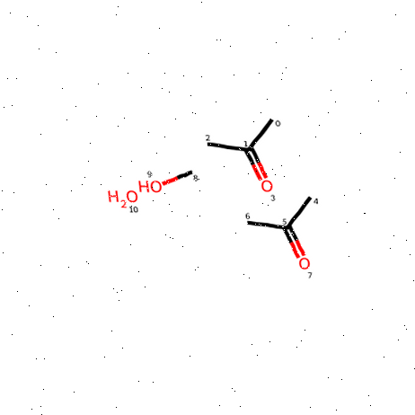 CC(C)=O.CC(C)=O.CO.O